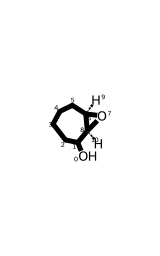 OC1CCCC[C@H]2O[C@@H]12